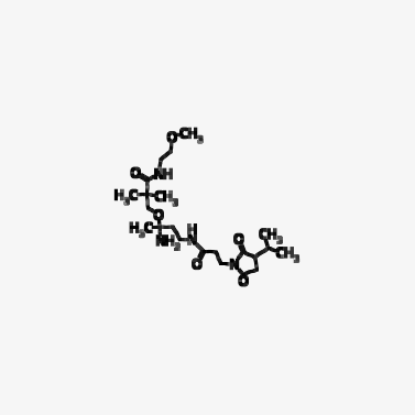 COCCNC(=O)C(C)(C)COC(C)(N)CCNC(=O)CCN1C(=O)CC(C(C)C)C1=O